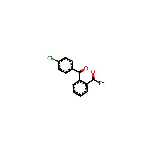 CCC(=O)c1ccccc1C(=O)c1ccc(Cl)cc1